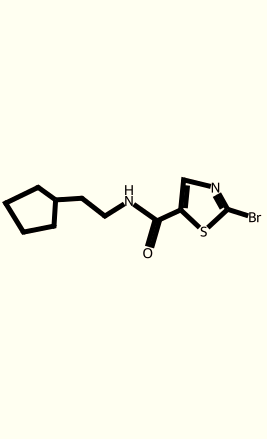 O=C(NCCC1CCCC1)c1cnc(Br)s1